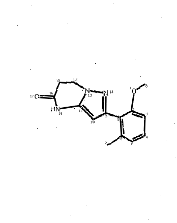 COc1cccc(C)c1-c1cc2n(n1)CCC(=O)N2